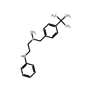 CN(CCNc1ccccc1)Cc1ccc(C(C)(C)C)cc1